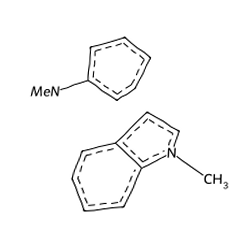 CNc1ccccc1.Cn1ccc2ccccc21